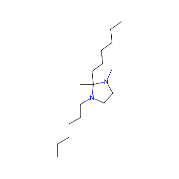 CCCCCCN1CCN(C)C1(C)CCCCCC